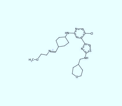 COCC/N=C/C1CCC(Nc2cc(-c3csc(NCC4CCOCC4)n3)c(Cl)cn2)CC1